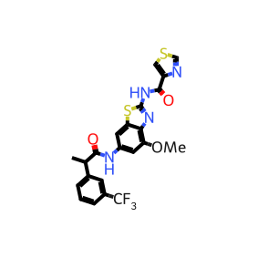 COc1cc(NC(=O)C(C)c2cccc(C(F)(F)F)c2)cc2sc(NC(=O)c3cscn3)nc12